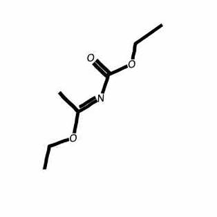 CCOC(=O)/N=C(\C)OCC